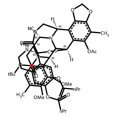 CCCC(=O)Oc1cc2c(cc1OC)[C@@]1(CS[C@@H]3c4c(OC(C)=O)c(C)c5c(c4[C@H](COC1=O)N1C3[C@H]3c4c(cc(C)c(OC)c4OC(=O)CCC)C[C@@H]([C@@H]1C#N)N3C(=O)OC(C)(C)C)OCO5)NCC2